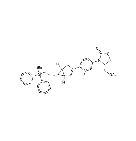 CC(=O)OC[C@H]1COC(=O)N1c1ccc(C2=C[C@H]3[C@H](CO[Si](c4ccccc4)(c4ccccc4)C(C)(C)C)[C@H]3C2)c(F)c1